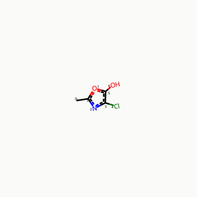 Cc1nc(Cl)c(O)o1